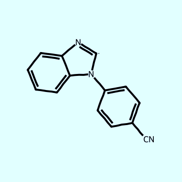 N#Cc1ccc(-n2[c]nc3ccccc32)cc1